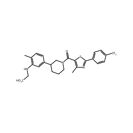 Cc1ccc(C2CCCN(C(=O)c3sc(-c4ccc(C(F)(F)F)cc4)nc3C)C2)cc1NCC(=O)O